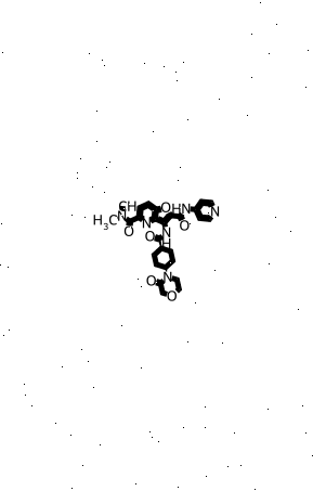 CN(C)C(=O)c1ccc2oc(C(=O)Nc3ccncc3)c(NC(=O)[C@H]3CC[C@H](N4CCOCC4=O)CC3)c2n1